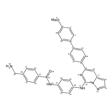 COc1ccc(-c2ccc(-c3cc4ccnn4c(Nc4ccc(NC(=O)c5ccc(CN)cc5)cc4)n3)cc2)cc1